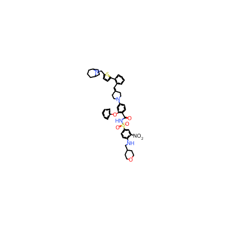 O=C(NS(=O)(=O)c1ccc(NCC2CCOCC2)c([N+](=O)[O-])c1)c1ccc(N2CCC(=Cc3ccccc3-c3ccc(CN4C5CCCC4CC5)s3)CC2)cc1Oc1ccccc1